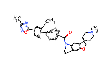 Cc1noc(-c2ccc(-c3ccc(C(=O)N4CCc5cc6c(cc54)C4(CCN(C)CC4)CO6)cc3)c(C)c2)n1